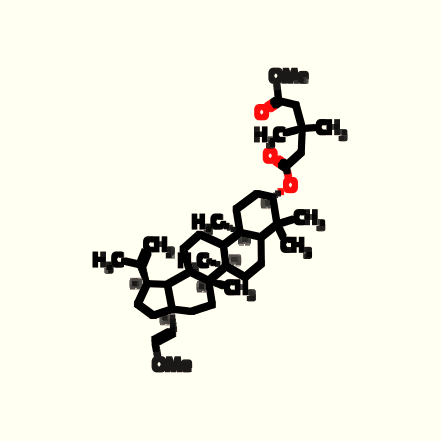 C=C(C)[C@@H]1CC[C@]2(C=COC)CC[C@]3(C)C(CCC4[C@@]5(C)CC[C@H](OC(=O)CC(C)(C)CC(=O)OC)C(C)(C)C5CC[C@]43C)C12